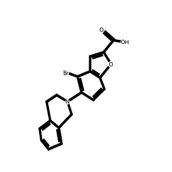 O=C(O)c1cc2c(Br)c(N3CCc4ccccc4C3)ccc2o1